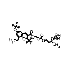 CCc1cc(OC(F)(F)F)cc2c1OC(C(F)(F)F)C(C(=O)OCOC(=O)OCCC(C)ONO)=C2